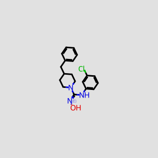 O/N=C(\Nc1cccc(Cl)c1)N1CCC(Cc2ccccc2)CC1